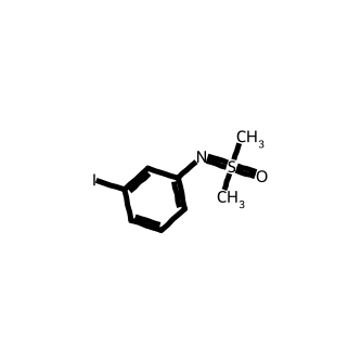 CS(C)(=O)=Nc1cccc(I)c1